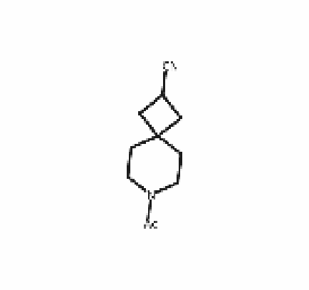 [CH2]C(=O)N1CCC2(CC1)CC(C#N)C2